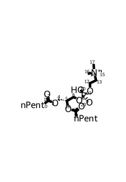 CCCCCC(=O)OC[C@H](COP(=O)(O)OCC[N+](C)(C)C)OC(=O)CCCCC